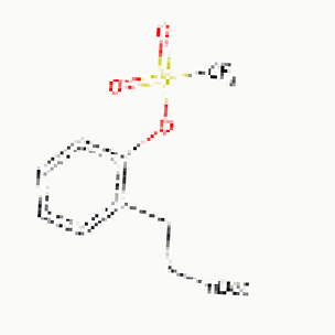 CCCCCCCCCCCCc1ccccc1OS(=O)(=O)C(F)(F)F